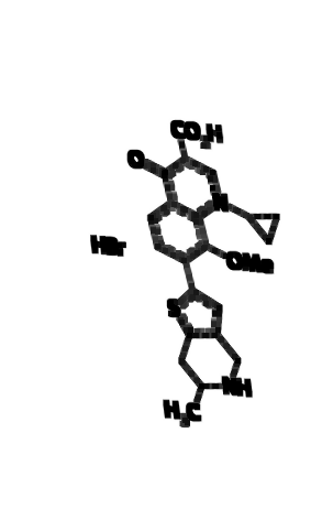 Br.COc1c(-c2cc3c(s2)CC(C)NC3)ccc2c(=O)c(C(=O)O)cn(C3CC3)c12